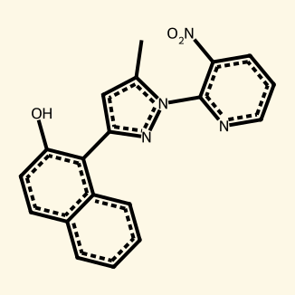 Cc1cc(-c2c(O)ccc3ccccc23)nn1-c1ncccc1[N+](=O)[O-]